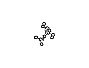 c1ccc(-c2cc(-c3ccccc3)nc(-c3ccc(-c4cc(-c5cccc6ccccc56)c5ccc6ccc(-c7cccc8ccccc78)nc6c5n4)cc3)c2)cc1